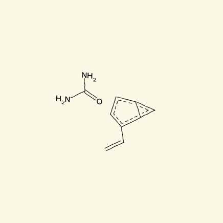 C=Cc1ccc2cc1-2.NC(N)=O